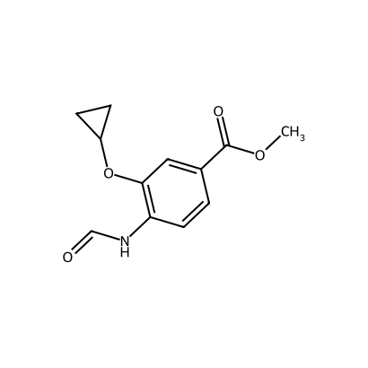 COC(=O)c1ccc(NC=O)c(OC2CC2)c1